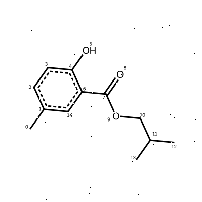 Cc1ccc(O)c(C(=O)OCC(C)C)c1